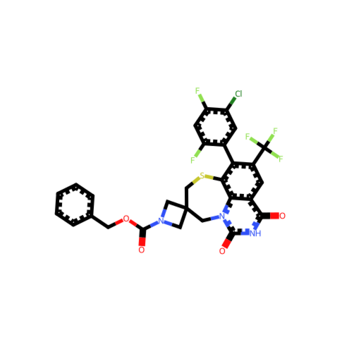 O=C(OCc1ccccc1)N1CC2(CSc3c(-c4cc(Cl)c(F)cc4F)c(C(F)(F)F)cc4c(=O)[nH]c(=O)n(c34)C2)C1